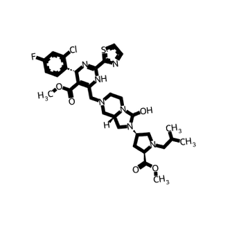 COC(=O)C1=C(CN2CCN3C(O)N([C@H]4C[C@H](C(=O)OC)N(CC(C)C)C4)C[C@@H]3C2)NC(c2nccs2)=N[C@H]1c1ccc(F)cc1Cl